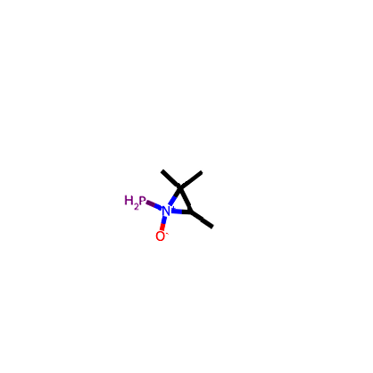 CC1C(C)(C)[N+]1([O-])P